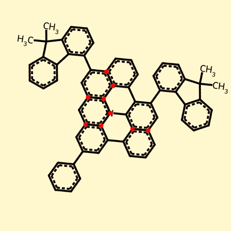 CC1(C)c2ccccc2-c2c(-c3ccc(N(c4ccc(-c5ccccc5)cc4-c4ccccc4)c4cccc(-c5cccc6c5-c5ccccc5C6(C)C)c4-c4ccccc4-c4ccccc4)cc3)cccc21